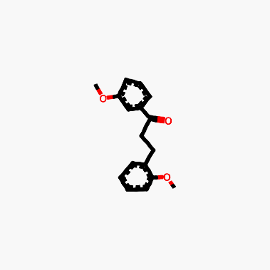 COc1cccc(C(=O)CCc2ccccc2OC)c1